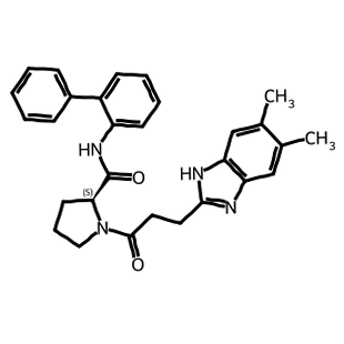 Cc1cc2nc(CCC(=O)N3CCC[C@H]3C(=O)Nc3ccccc3-c3ccccc3)[nH]c2cc1C